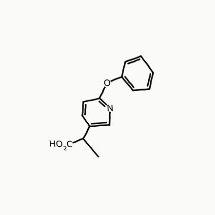 CC(C(=O)O)c1ccc(Oc2ccccc2)nc1